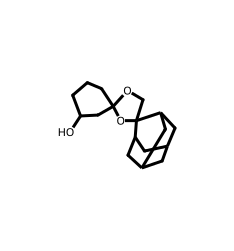 OC1CCCC2(C1)OCC1(O2)C2CC3CC(C2)CC1C3